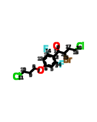 O=C(c1c(F)cc(OCCCCl)cc1F)C(Br)CCCl